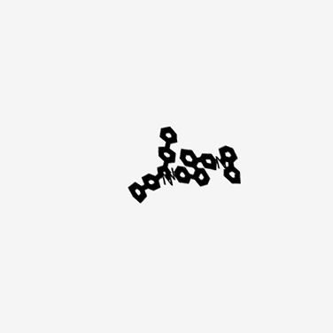 c1ccc(-c2ccc(-c3cc(-c4ccc(-c5ccccc5)cc4)n(-c4ccc(-c5ccccc5-c5ccccc5-c5ccc(-n6c7ccccc7c7ccccc76)cc5)cc4)n3)cc2)cc1